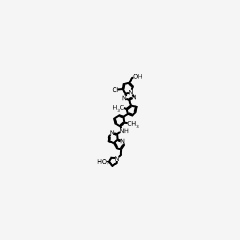 Cc1c(Nc2nccc3cc(CN4CC[C@@H](O)C4)cnc23)cccc1-c1cccc(-c2nc3c(Cl)cc(CO)cn3n2)c1C